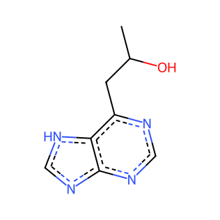 CC(O)Cc1ncnc2nc[nH]c12